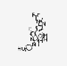 [2H]C([2H])([2H])Oc1nc(NC2CCC(C)(O)CC2)nn2cc(F)c(-c3ccc4nc(C)n(CC(F)F)c4c3)c12